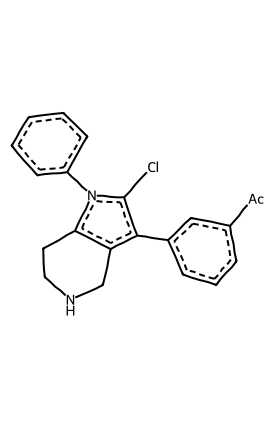 CC(=O)c1cccc(-c2c3c(n(-c4ccccc4)c2Cl)CCNC3)c1